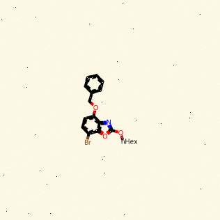 CCCCCCOc1nc2c(OCc3ccccc3)ccc(Br)c2o1